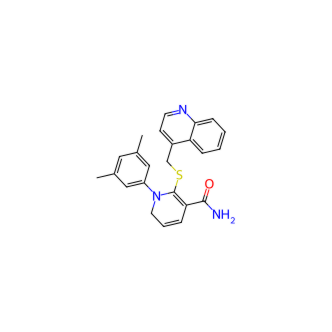 Cc1cc(C)cc(N2CC=CC(C(N)=O)=C2SCc2ccnc3ccccc23)c1